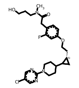 CN(CCCO)C(=O)Cc1ccc(OCC[C@@H]2CC2C2CCN(c3ncc(Cl)cn3)CC2)cc1F